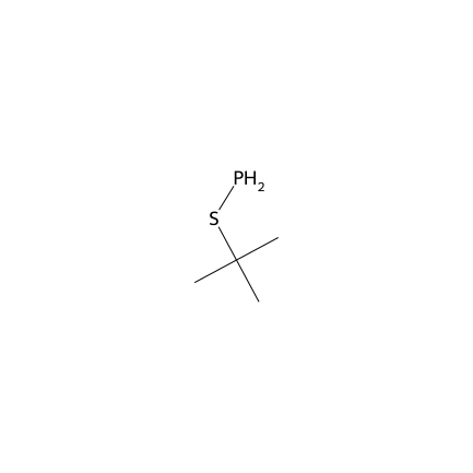 CC(C)(C)SP